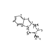 CC(Nc1cc2ccccc2s1)C(N)=O